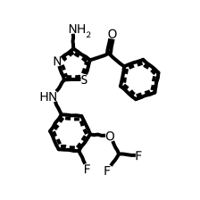 Nc1nc(Nc2ccc(F)c(OC(F)F)c2)sc1C(=O)c1ccccc1